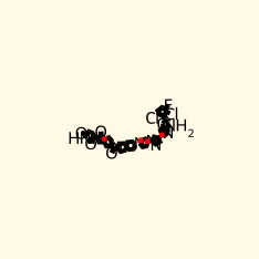 C[C@@H](Oc1cc(-c2cnn(C3CCN(C4CCC5(CC4)CCN(C(=O)c4ccc6c(c4)CN(C4CCC(=O)NC4=O)C6=O)CC5)CC3)c2)cnc1N)c1c(Cl)ccc(F)c1Cl